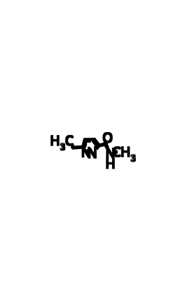 CCc1ccc(C(=O)NC)nn1